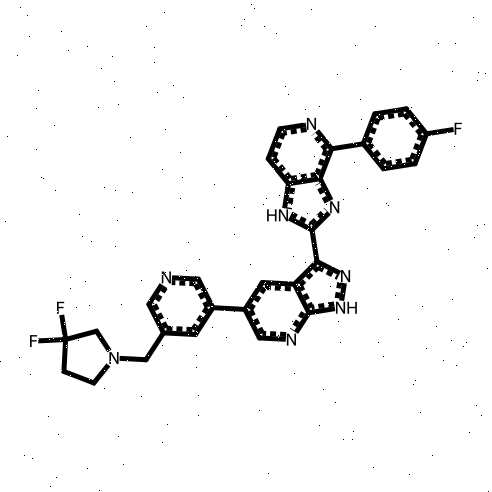 Fc1ccc(-c2nccc3[nH]c(-c4n[nH]c5ncc(-c6cncc(CN7CCC(F)(F)C7)c6)cc45)nc23)cc1